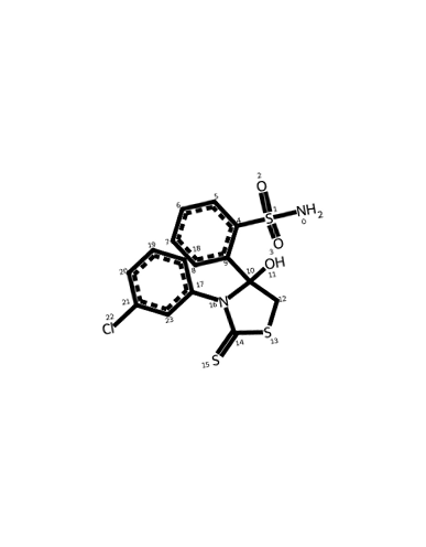 NS(=O)(=O)c1ccccc1C1(O)CSC(=S)N1c1cccc(Cl)c1